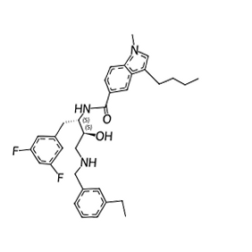 CCCCc1cn(C)c2ccc(C(=O)N[C@@H](Cc3cc(F)cc(F)c3)[C@@H](O)CNCc3cccc(CC)c3)cc12